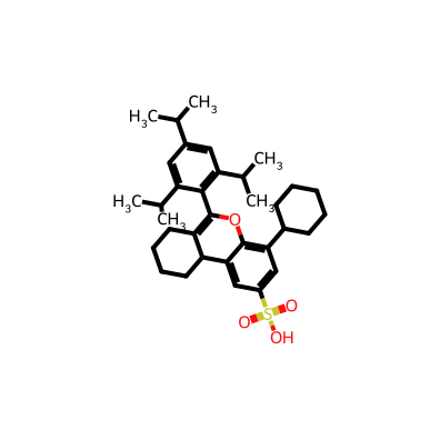 CC(C)c1cc(C(C)C)c(C2=C3CCCCC3c3cc(S(=O)(=O)O)cc(C4CCCCC4)c3O2)c(C(C)C)c1